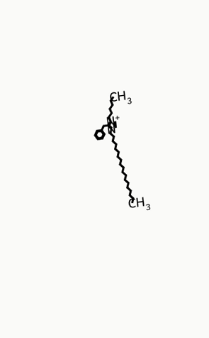 CCCCCCCCCCCCCCCCCCCn1cc[n+](CCCCCC)c1Cc1ccccc1